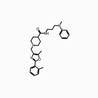 Cc1ccccc1-c1nc(CN2CCC(C(=O)NCCCN(C)c3ccccc3)CC2)c(C)o1